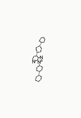 c1ccc(-c2ccc(-c3ccnc4c3ncn4-c3ccc(-c4ccccc4)cc3)cc2)cc1